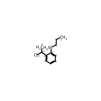 CC[CH2][SnH2][c]1ccccc1C(C)Cl